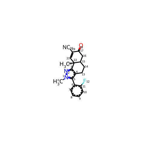 Cn1nc2c(c1-c1ccccc1F)CCC1CC(=O)C(C#N)=CC21C